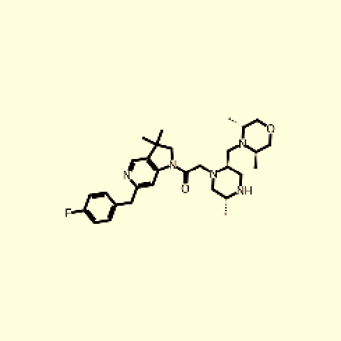 C[C@@H]1CN(CC(=O)N2CC(C)(C)c3cnc(Cc4ccc(F)cc4)cc32)[C@@H](CN2[C@H](C)COC[C@H]2C)CN1